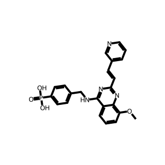 COc1cccc2c(NCc3ccc(P(=O)(O)O)cc3)nc(/C=C/c3cccnc3)nc12